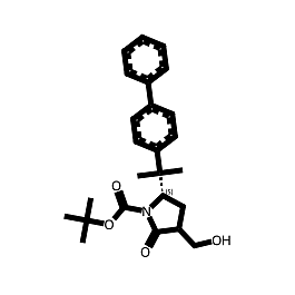 CC(C)(C)OC(=O)N1C(=O)C(CO)C[C@H]1C(C)(C)c1ccc(-c2ccccc2)cc1